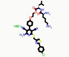 CC(C)C[C@H](NC(=O)[C@@H](N)CCCCN)C(=O)OCCOc1ccc(-c2c(C#N)c(N)nc(SCc3csc(-c4ccc(Cl)cc4)n3)c2C#N)cc1.Cl.Cl